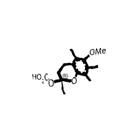 COc1c(C)c(C)c2c(c1C)CC[C@@](C)(OC(=O)O)O2